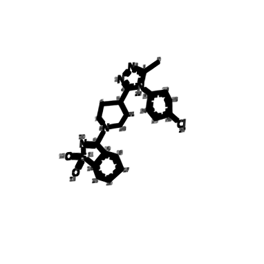 Cc1nnc(C2CCN(C3=NS(=O)(=O)c4ccccc43)CC2)n1-c1ccc(Cl)cc1